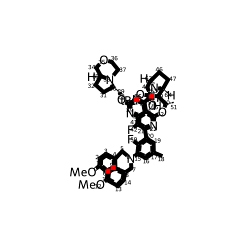 COc1ccc(CN(Cc2ccc(OC)cc2)c2cc(C)cc(-c3nc4c5c(nc(OC[C@@H]6CC[C@H]7COCCN76)nc5c3F)N3C[C@H]5CC[C@@H]([C@H]3[C@H](C)O4)N5C(=O)OC(C)(C)C)c2F)cc1